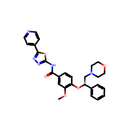 COc1cc(C(=O)Nc2nnc(-c3ccncc3)s2)ccc1O[C@@H](CN1CCOCC1)c1ccccc1